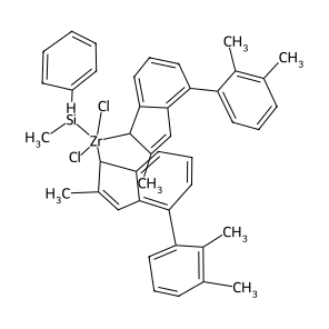 CC1=Cc2c(-c3cccc(C)c3C)cccc2[CH]1[Zr]([Cl])([Cl])([CH]1C(C)=Cc2c(-c3cccc(C)c3C)cccc21)[SiH](C)c1ccccc1